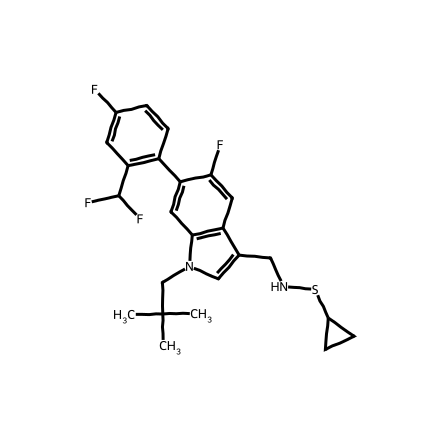 CC(C)(C)Cn1cc(CNSC2CC2)c2cc(F)c(-c3ccc(F)cc3C(F)F)cc21